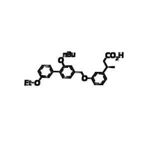 CCCCOc1cc(COc2cccc([C@H](C)CC(=O)O)c2)ccc1-c1cccc(OCC)c1